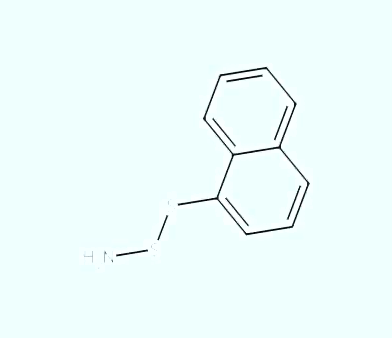 NSSc1cccc2ccccc12